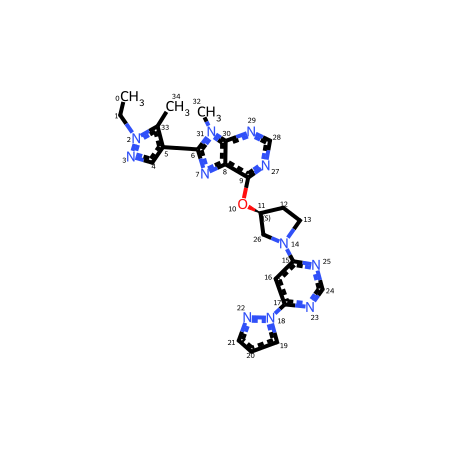 CCn1ncc(-c2nc3c(O[C@H]4CCN(c5cc(-n6cccn6)ncn5)C4)ncnc3n2C)c1C